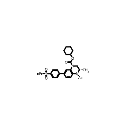 CCCS(=O)(=O)c1ccc(-c2ccc3c(c2)N(C(=O)OC2CCCCC2)C[C@H](C)N3C(C)=O)cc1